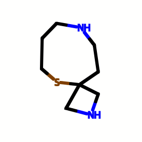 C1CNCCC2(CNC2)SC1